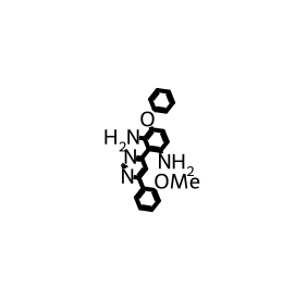 COc1ccccc1-c1cc(-c2c(N)ccc(Oc3ccccc3)c2N)ncn1